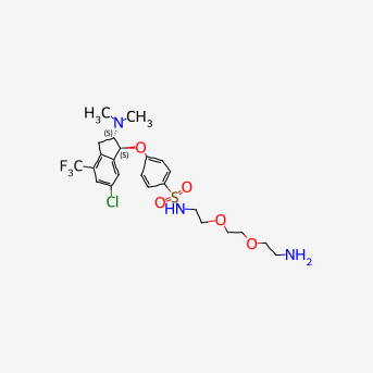 CN(C)[C@H]1Cc2c(cc(Cl)cc2C(F)(F)F)[C@@H]1Oc1ccc(S(=O)(=O)NCCOCCOCCN)cc1